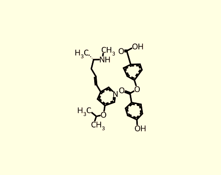 CN[C@@H](C)C/C=C/c1cncc(OC(C)C)c1.O=C(O)c1ccc(OC(=O)c2ccc(O)cc2)cc1